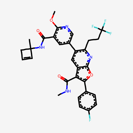 CNC(=O)c1c(-c2ccc(F)cc2)oc2nc(CCC(F)(F)F)c(-c3cnc(OC)c(C(=O)NC4(C)C=CC4)c3)cc12